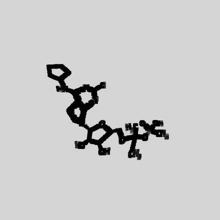 CC(C)(OC[C@H]1O[C@@H](n2ccc3c(NC4CCCC4)nc(Cl)nc32)[C@H](O)[C@@H]1O)OP(C)(=O)O